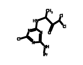 CC(C)Nc1nc(Cl)nc(NC(C)C(=O)C(Cl)Cl)n1